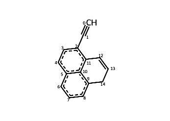 C#Cc1ccc2cccc3c2c1C=CC3